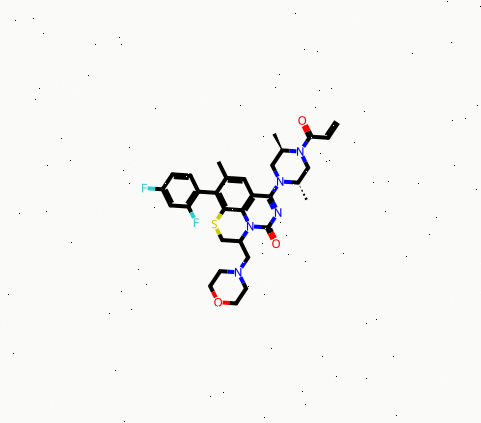 C=CC(=O)N1C[C@H](C)N(c2nc(=O)n3c4c(c(-c5ccc(F)cc5F)c(C)cc24)SCC3CN2CCOCC2)C[C@H]1C